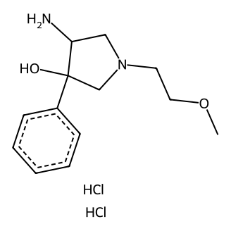 COCCN1CC(N)C(O)(c2ccccc2)C1.Cl.Cl